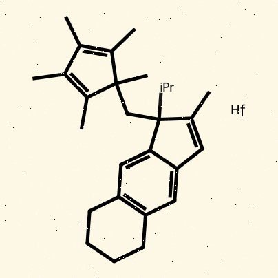 CC1=Cc2cc3c(cc2C1(CC1(C)C(C)=C(C)C(C)=C1C)C(C)C)CCCC3.[Hf]